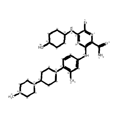 CCc1nc(C(N)=O)c(Nc2ccc(N3CCC(N4CCN(C)CC4)CC3)c(C)c2)nc1NC1CCC(O)CC1